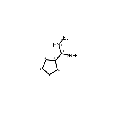 CCNC([NH])C1CCCC1